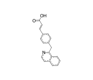 O=C(O)/C=C/c1ccc(Cc2nccc3ccccc23)cc1